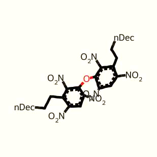 CCCCCCCCCCCCc1c([N+](=O)[O-])cc([N+](=O)[O-])c(Oc2c([N+](=O)[O-])cc([N+](=O)[O-])c(CCCCCCCCCCCC)c2[N+](=O)[O-])c1[N+](=O)[O-]